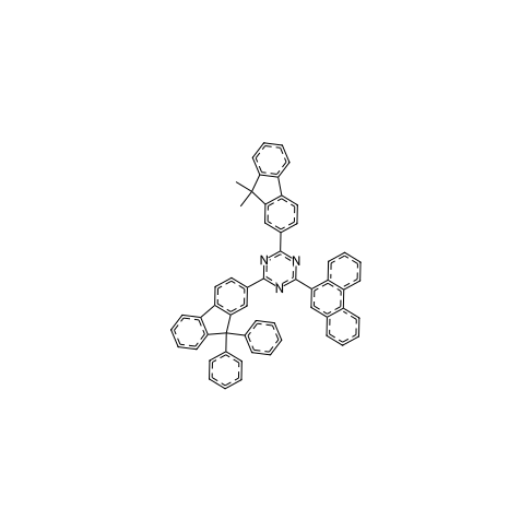 CC1(C)c2ccccc2-c2ccc(-c3nc(-c4ccc5c(c4)C(c4ccccc4)(c4ccccc4)c4ccccc4-5)nc(-c4cc5ccccc5c5ccccc45)n3)cc21